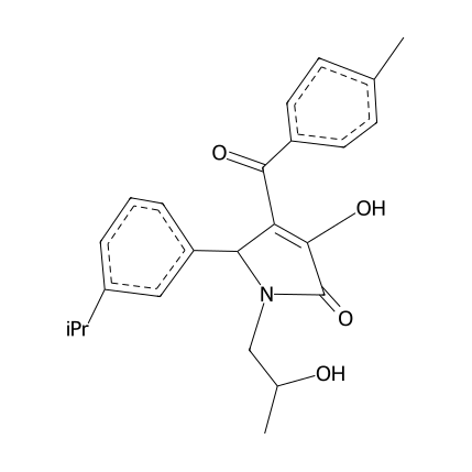 Cc1ccc(C(=O)C2=C(O)C(=O)N(CC(C)O)C2c2cccc(C(C)C)c2)cc1